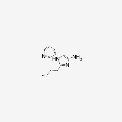 CCCCc1nc(N)c[nH]1.c1ccncc1